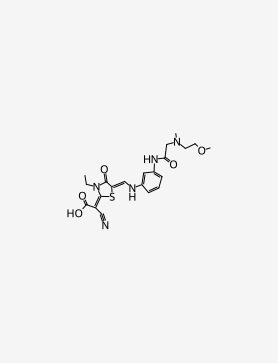 CCn1c(=C(C#N)C(=O)O)sc(=CNc2cccc(NC(=O)CN(C)CCOC)c2)c1=O